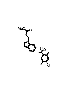 COC(=O)CCn1ccc2ccc(NS(=O)(=O)c3cc(C)c(Cl)cc3C)cc21